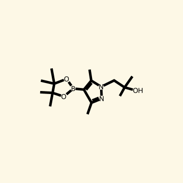 Cc1nn(CC(C)(C)O)c(C)c1B1OC(C)(C)C(C)(C)O1